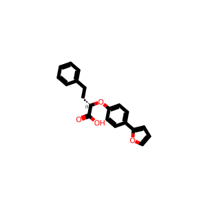 O=C(O)[C@H](CCc1ccccc1)Oc1ccc(-c2ccco2)cc1